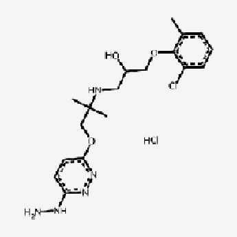 Cc1cccc(Cl)c1OCC(O)CNC(C)(C)COc1ccc(NN)nn1.Cl